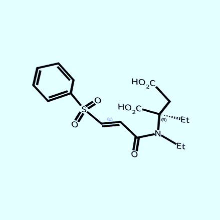 CCN(C(=O)/C=C/S(=O)(=O)c1ccccc1)[C@](CC)(CC(=O)O)C(=O)O